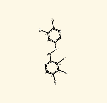 Clc1ccc(NNc2ccc(Cl)c(Cl)c2I)cc1Cl